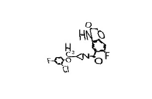 CC(Oc1ccc(F)cc1Cl)C1CN(C(=O)c2cc3c(cc2F)OCC(=O)N3)C1